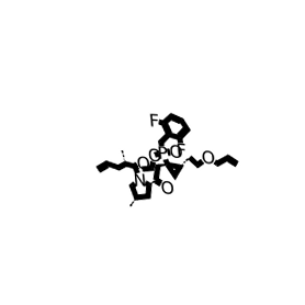 C=CCOCC[C@@H]1C[C@]1(CC(=O)[C@@H]1C[C@H](C)CN1C(=O)[C@@H](C)CC=C)P(=O)(Cc1c(F)cccc1F)OCC